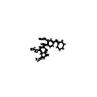 CCOc1nc(Nc2ccc(SN3CCCCC3)cc2OC)nc2[nH]cc(C(F)(F)F)c12